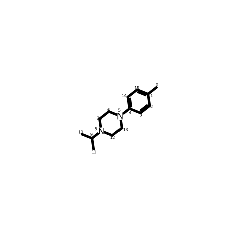 Cc1ccc(N2CCN(C(C)C)CC2)cc1